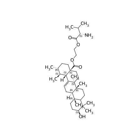 CC(C)[C@H](N)C(=O)OCCOC(=O)[C@]12CC[C@@H](C)[C@H](C)[C@H]1C1=CC[C@@H]3[C@@]4(C)CC[C@H](O)C(C)(C)C4CC[C@@]3(C)[C@]1(C)CC2